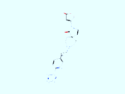 O=C1C=C(N2C=CC3(CCN(C[C@H](O)c4ccc(-n5cnnn5)nc4)CC3)C2=O)CO1